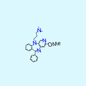 COc1cc2c(cn1)N(CCCN(C)C)c1ccccc1C(c1ccccc1)=N2